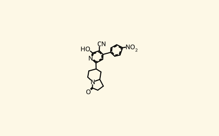 N#Cc1c(-c2ccc([N+](=O)[O-])cc2)cc(C2CCN3C(=O)CCC3C2)nc1O